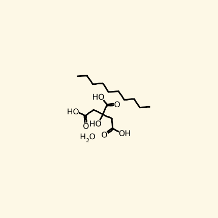 CCCCCCCCCC.O.O=C(O)CC(O)(CC(=O)O)C(=O)O